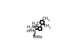 CCCN(CCOC)c1c2cccc(-c3c(C)cc(C)cc3C)c2nn1C